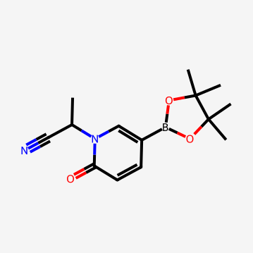 CC(C#N)n1cc(B2OC(C)(C)C(C)(C)O2)ccc1=O